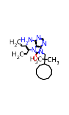 C=C/C=C(\C=C)n1c(=O)n(CC(C)(C)C2CCCCCCCCC2)c2ncnc(N)c21